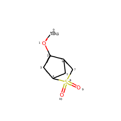 CC(C)(C)OC1CC2CC1CS2(=O)=O